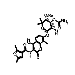 CO[C@@H]1[C@@H](OC(N)=O)[C@@H](O)[C@H](Oc2ccc3c(O)c(NC(=O)c4cc(C)oc4C)c(=O)oc3c2C)OC1(C)C